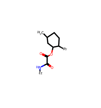 CCNC(=O)C(=O)OC1CC(C)CCC1C(C)C